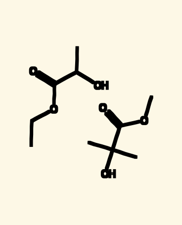 CCOC(=O)C(C)O.COC(=O)C(C)(C)O